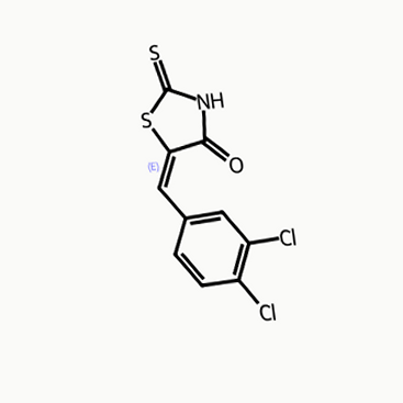 O=C1NC(=S)S/C1=C/c1ccc(Cl)c(Cl)c1